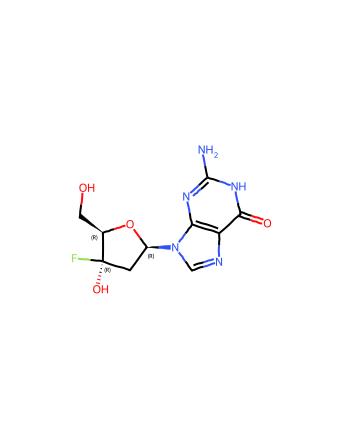 Nc1nc2c(ncn2[C@H]2C[C@@](O)(F)[C@@H](CO)O2)c(=O)[nH]1